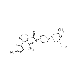 Cc1cn(-c2ccc(N3C[C@@H](C)O[C@@H](C)C3)cc2)c(=O)c2ccnc(-c3ccc(C#N)s3)c12